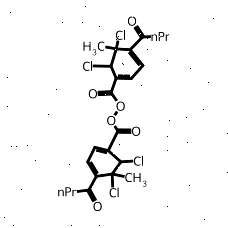 CCCC(=O)C1=CC=C(C(=O)OOC(=O)C2=CC=C(C(=O)CCC)C(C)(Cl)C2Cl)C(Cl)C1(C)Cl